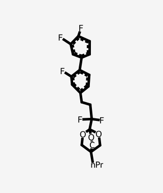 CCCC12COC(C(F)(F)CCc3ccc(-c4ccc(F)c(F)c4)c(F)c3)(OC1)OC2